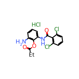 CCC(=O)Oc1c(N)cccc1NC(=O)c1c(Cl)cccc1Cl.Cl